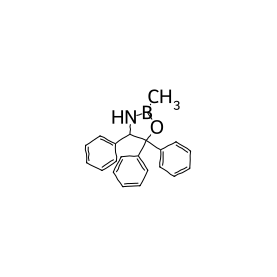 CB1NC(c2ccccc2)C(c2ccccc2)(c2ccccc2)O1